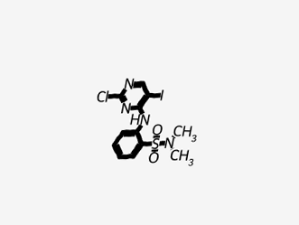 CN(C)S(=O)(=O)c1ccccc1Nc1nc(Cl)ncc1I